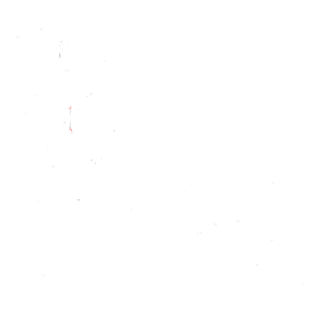 Cc1ccccc1-c1cc(-c2ccc(N(c3ccc(-c4ccccc4)cc3)c3cc(-c4ccccc4)ccc3-c3ccc(-c4ccccc4)cc3)cc2)ccc1CCc1ccccc1